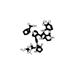 COc1c(Cl)cccc1Nc1c(-c2ccncc2C#C[C@H]2[C@@H]3CC[C@@H](C3)N2C(=O)OC(C)(C)C)[nH]c2c1C(=O)NCC2.O=C(O)C1CC2CCC1C2